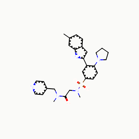 Cc1ccc2cc(-c3cc(S(=O)(=O)N(C)CC(=O)N(C)Cc4ccncc4)ccc3N3CCCC3)[nH]c2c1